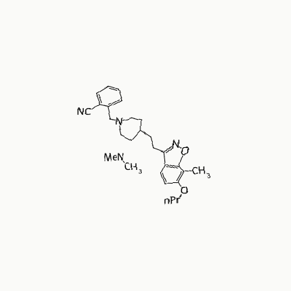 CCCOc1ccc2c(CCC3CCN(Cc4ccccc4C#N)CC3)noc2c1C.CNC